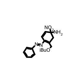 CC(C)COCC1=C(N=Nc2ccccc2)C=CC(N)([N+](=O)[O-])C1